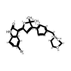 CC1(C)OC(=C2C(=O)Nc3ccc(Br)cc32)C=C1c1ccc(CN2CCOCC2)cc1